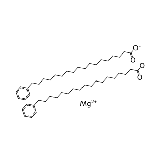 O=C([O-])CCCCCCCCCCCCCCCCCc1ccccc1.O=C([O-])CCCCCCCCCCCCCCCCCc1ccccc1.[Mg+2]